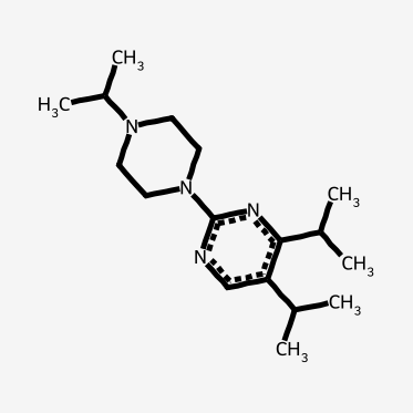 CC(C)c1cnc(N2CCN(C(C)C)CC2)nc1C(C)C